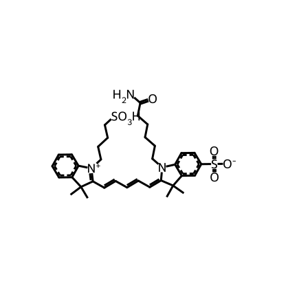 CC1(C)C(/C=C/C=C/C=C2\N(CCCCCC(N)=O)c3ccc(S(=O)(=O)[O-])cc3C2(C)C)=[N+](CCCCS(=O)(=O)O)c2ccccc21